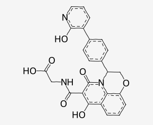 O=C(O)CNC(=O)c1c(O)c2cccc3c2n(c1=O)C(c1ccc(-c2cccnc2O)cc1)CO3